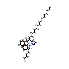 CCCCCCCCCCCCCCCCCC(c1nccn1CCCCCCCC)C(C)(Cc1ccccc1)c1ccccc1